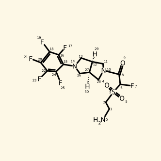 NCCS(=O)(=O)C(F)C(=O)N1C[C@@H]2CN(c3c(F)c(F)c(F)c(F)c3F)C[C@@H]2C1